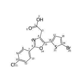 O=C(O)Cc1nc(-c2ccc(Cl)cc2)oc1-c1ccc(Br)s1